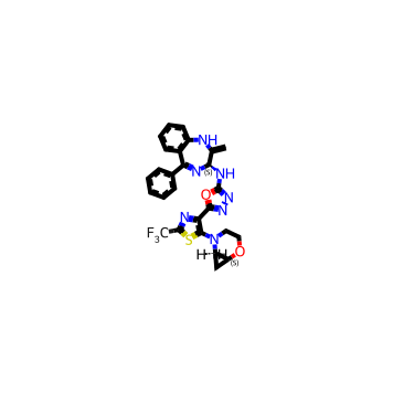 C=C1Nc2ccccc2C(c2ccccc2)=N[C@@H]1Nc1nnc(-c2nc(C(F)(F)F)sc2N2CCO[C@H]3C[C@H]32)o1